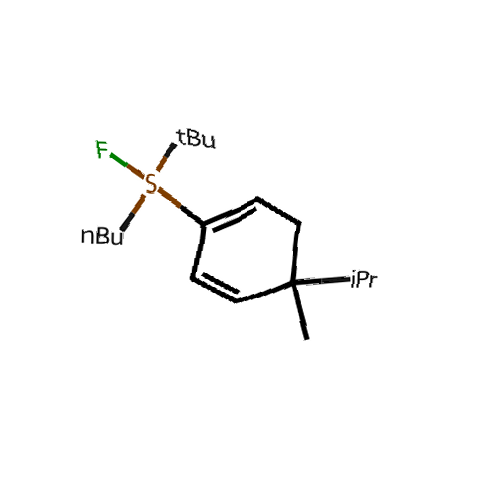 CCCCS(F)(C1=CCC(C)(C(C)C)C=C1)C(C)(C)C